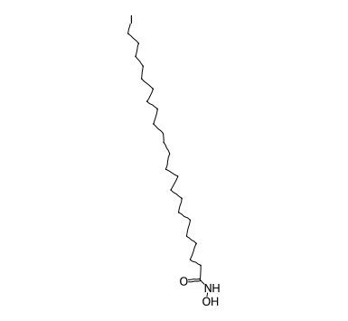 O=C(CCCCCCCCCCCCCCCCCCCCCCI)NO